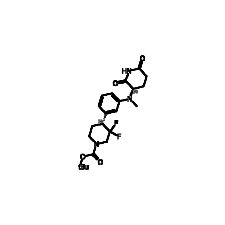 CN(c1cccc([C@H]2CCN(C(=O)OC(C)(C)C)CC2(F)F)c1)[C@@H]1CCC(=O)NC1=O